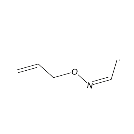 [CH2]/C=N\OCC=C